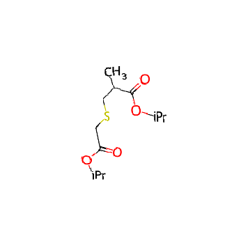 CC(C)OC(=O)CSCC(C)C(=O)OC(C)C